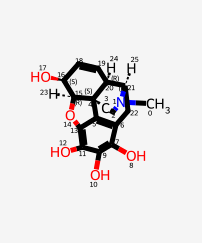 CN1CC[C@]23c4c5c(O)c(O)c(O)c4O[C@H]2[C@@H](O)C=C[C@H]3[C@H]1C5